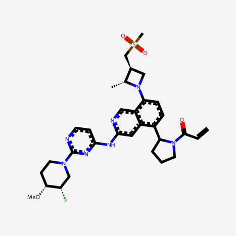 C=CC(=O)N1CCCC1c1ccc(N2C[C@H](CS(C)(=O)=O)[C@H]2C)c2cnc(Nc3ccnc(N4CC[C@@H](OC)[C@@H](F)C4)n3)cc12